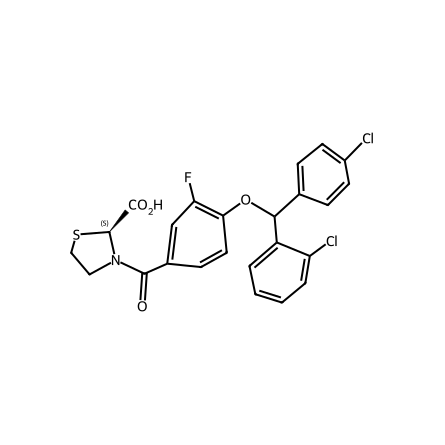 O=C(O)[C@@H]1SCCN1C(=O)c1ccc(OC(c2ccc(Cl)cc2)c2ccccc2Cl)c(F)c1